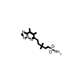 Cc1c(CCC(C)(C)CCS(N)(=O)=O)nn2ncnc2c1C